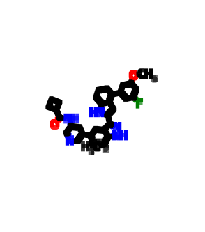 C=C(/C=c1/c(-c2cc3c(-c4cc(F)cc(OC)c4)cccc3[nH]2)n[nH]/c1=C/C)c1cncc(NC(=O)C2CCC2)c1